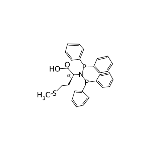 CSCC[C@@H](C(=O)O)N(P(c1ccccc1)c1ccccc1)P(c1ccccc1)c1ccccc1